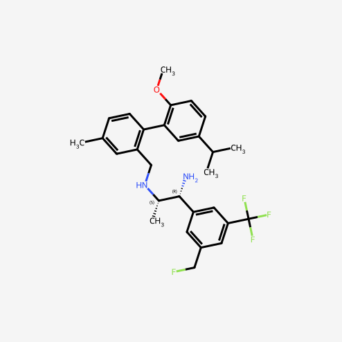 COc1ccc(C(C)C)cc1-c1ccc(C)cc1CN[C@@H](C)[C@H](N)c1cc(CF)cc(C(F)(F)F)c1